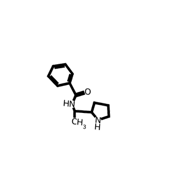 CC(NC(=O)c1ccccc1)C1CCCN1